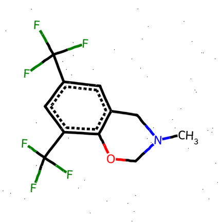 CN1COc2c(cc(C(F)(F)F)cc2C(F)(F)F)C1